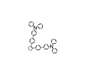 c1ccc(N(c2ccccc2)c2ccc(-c3ccc(C4=C(c5ccc(-c6ccc(N(c7ccccc7)c7ccccc7)cc6)cc5)CCC4)cc3)cc2)cc1